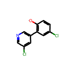 [O]c1ccc(Cl)cc1-c1cncc(Cl)c1